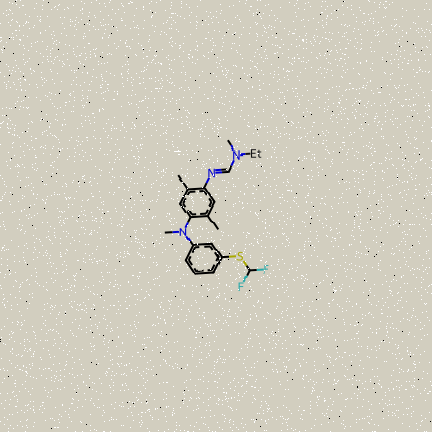 CCN(C)C=Nc1cc(C)c(N(C)c2cccc(SC(F)F)c2)cc1C